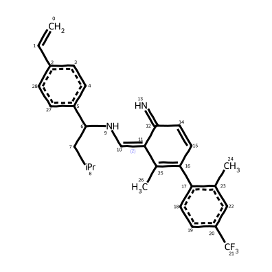 C=Cc1ccc(C(CC(C)C)N/C=C2\C(=N)C=CC(c3ccc(C(F)(F)F)cc3C)=C2C)cc1